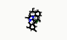 Cc1cc(C)c(Cn2c(C)c(C)n(-c3c(C(C)C)cccc3C(C)C)[c]2=[Cu-2][Cl])c(C)c1